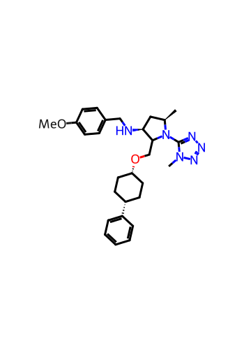 COc1ccc(CN[C@H]2C[C@@H](C)N(c3nnnn3C)C2CO[C@H]2CC[C@@H](c3ccccc3)CC2)cc1